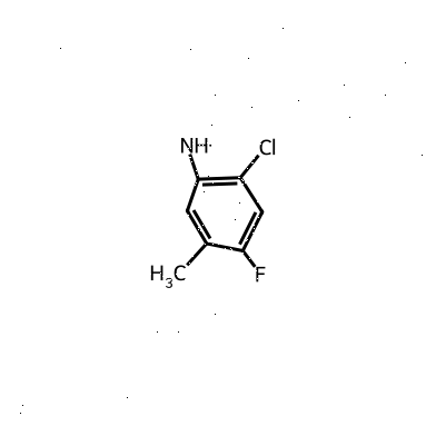 Cc1cc([NH])c(Cl)cc1F